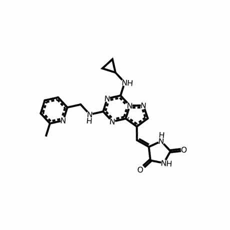 Cc1cccc(CNc2nc(NC3CC3)n3ncc(/C=C4\NC(=O)NC4=O)c3n2)n1